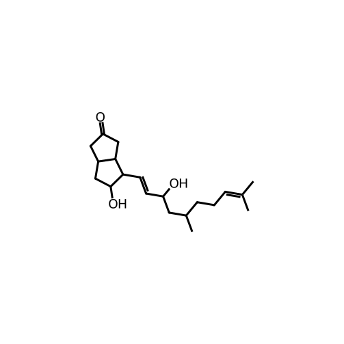 CC(C)=CCCC(C)CC(O)C=CC1C(O)CC2CC(=O)CC21